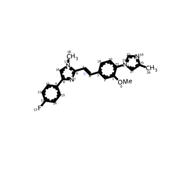 COc1cc(/C=C/c2nc(-c3ccc(F)cc3)cn2C)ccc1-n1cnc(C)c1